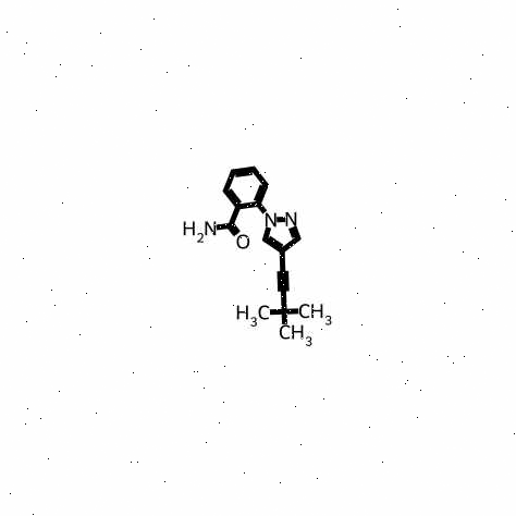 CC(C)(C)C#Cc1cnn(-c2ccccc2C(N)=O)c1